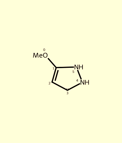 COC1=C[C]NN1